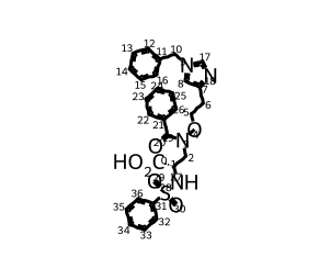 O=C(O)[C@H](CN(OCCc1cn(Cc2ccccc2)cn1)C(=O)c1ccccc1)NS(=O)(=O)c1ccccc1